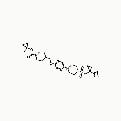 CC1(OC(=O)N2CCC(COc3cnc(N4CCN(S(=O)(=O)CC5(N6CCC6)CC5)CC4)cn3)CC2)CC1